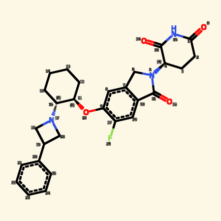 O=C1CC[C@@H](N2Cc3cc(O[C@@H]4CCCC[C@H]4N4CC(c5ccccc5)C4)c(F)cc3C2=O)C(=O)N1